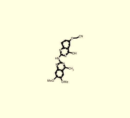 COc1cc2nc(Nc3nc(O)c4cc(OCC#N)ccc4n3)nc(C)c2cc1OC